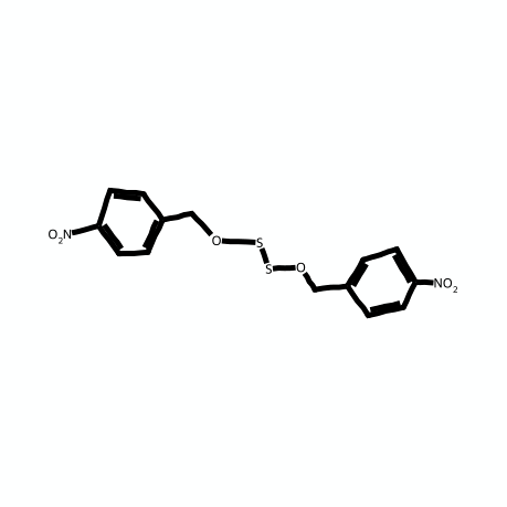 O=[N+]([O-])c1ccc(COSSOCc2ccc([N+](=O)[O-])cc2)cc1